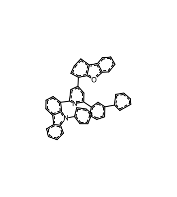 c1ccc(-c2cccc(-c3cc(-c4cccc5c4oc4ccccc45)cc(-c4cccc5c6ccccc6n(-c6ccccc6)c45)n3)c2)cc1